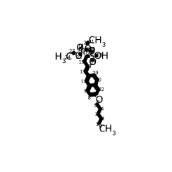 CCCCCCOc1ccc2cc(C=CCC(P(=O)(OCC)OCC)S(=O)(=O)O)ccc2c1